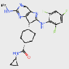 CC(C)Nc1ncc2c(n1)C([C@H]1CC[C@@H](C(=O)NC3CC3)CC1)C(Nc1c(F)cc(F)cc1F)=N2